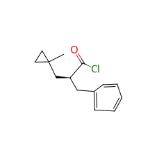 CC1(C[C@H](Cc2ccccc2)C(=O)Cl)CC1